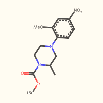 COc1cc([N+](=O)[O-])ccc1N1CCN(C(=O)OC(C)(C)C)C(C)C1